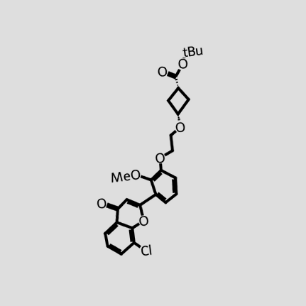 COc1c(OCCO[C@H]2C[C@@H](C(=O)OC(C)(C)C)C2)cccc1-c1cc(=O)c2cccc(Cl)c2o1